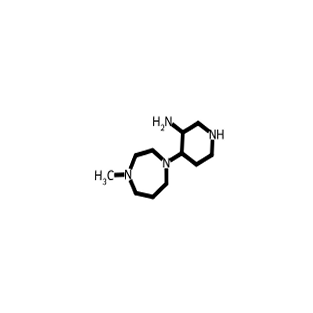 CN1CCCN(C2CCNCC2N)CC1